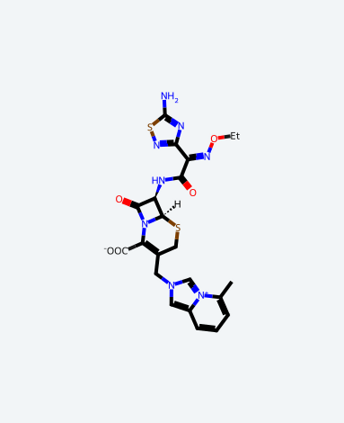 CCO/N=C(/C(=O)N[C@@H]1C(=O)N2C(C(=O)[O-])=C(Cn3cc4cccc(C)[n+]4c3)CS[C@H]12)c1nsc(N)n1